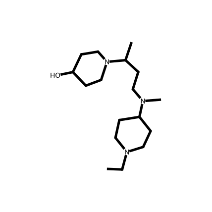 CCN1CCC(N(C)CCC(C)N2CCC(O)CC2)CC1